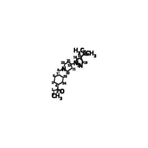 CCC(=O)[C@H]1CC[C@H](CN2CCC(n3cc(C(C)C)cn3)CC2)CC1